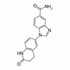 NC(=O)c1ccc2c(c1)ncn2-c1ccc2c(c1)CCC(=O)N2